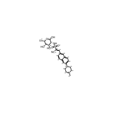 CC[C@H]1OC(O)[C@H](NS(=O)(=O)/C(C#N)=C/c2ccc3cc(N4CCN(C)CC4)ccc3c2)[C@@H](O)[C@@H]1O